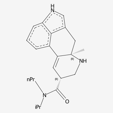 CCCN(C(=O)[C@@H]1C=C2c3cccc4[nH]cc(c34)C[C@@]2(C)NC1)C(C)C